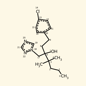 CCCC(C)(C)C(O)(CCc1ccc(Cl)cc1)Cn1cncn1